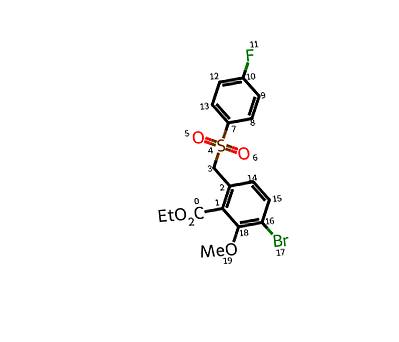 CCOC(=O)c1c(CS(=O)(=O)c2ccc(F)cc2)ccc(Br)c1OC